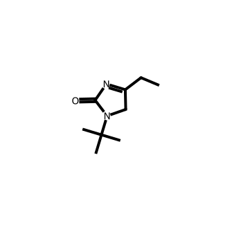 CCC1=NC(=O)N(C(C)(C)C)C1